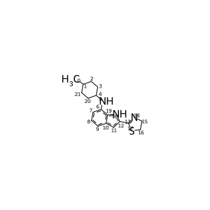 CC1CCC(Nc2cccc3cc(C4=NCCS4)[nH]c23)CC1